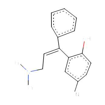 CC(C)N(CC=C(c1ccccc1)c1cc(C#N)ccc1O)C(C)C